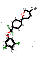 CCCC1CCC(C2CCC(C(F)(F)Oc3cc(F)c(C)c(F)c3)CC2)OC1